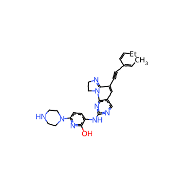 C/C=C(C#CC1=Cc2cnc(Nc3ccc(N4CCNCC4)nc3O)nc2N2CCN=C12)\C=C/CC